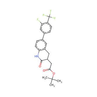 CC(C)(C)OC(=O)CC1Cc2cc(-c3ccc(C(F)(F)F)c(F)c3)ccc2NC1=O